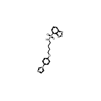 O=S(=O)(NCCCCOc1ccc(-n2ccnc2)cc1)c1cccc2nsnc12